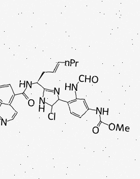 CCC/C=C/C[C@H](NC(=O)c1cccc2cnccc12)C1=NC(c2ccc(NC(=O)OC)cc2NC=O)C(Cl)N1